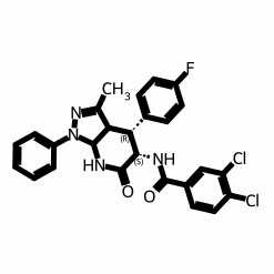 CC1=NN(c2ccccc2)C2NC(=O)[C@@H](NC(=O)c3ccc(Cl)c(Cl)c3)[C@@H](c3ccc(F)cc3)C12